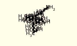 CC(CO)C(O)C(O)C(O)C(O)OC(C(O)OC(C(O)OCCNC(=O)NCCCN)C(O)C(O)C(C)CO)C(O)C(O)C(C)CO